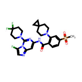 CS(=O)(=O)c1ccc(C(=O)Nc2cc3ncc(F)n3c(N3CCC(F)(F)CC3)n2)c(N2CCC3(CC2)CC3)c1